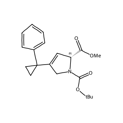 COC(=O)[C@H]1C=C(C2(c3ccccc3)CC2)CN1C(=O)OC(C)(C)C